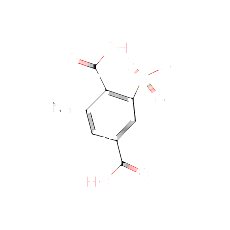 O=C(O)c1ccc(C(=O)O)c(S(=O)(=O)[O-])c1.[Na+]